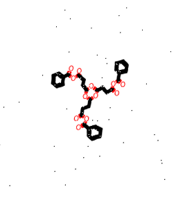 O=C(CCC1OC(CCC(=O)OC(=O)c2ccccc2)OC(CCC(=O)OC(=O)c2ccccc2)O1)OC(=O)c1ccccc1